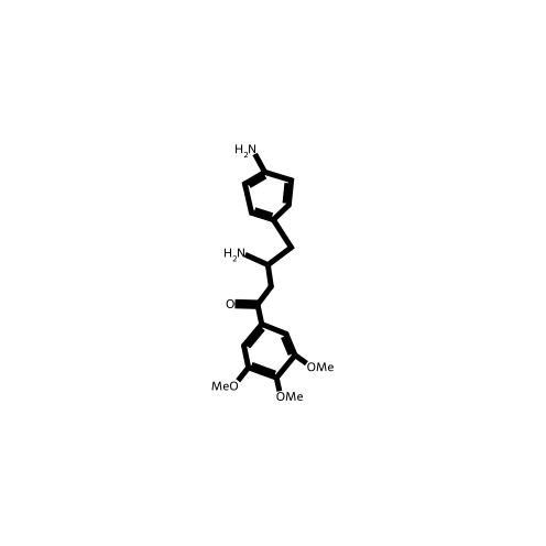 COc1cc(C(=O)CC(N)Cc2ccc(N)cc2)cc(OC)c1OC